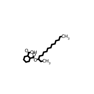 CCCCCCCCCCCCC(CC)OC(=O)C1CCCCC1C(=O)O